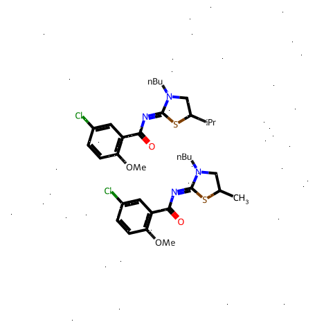 CCCCN1CC(C(C)C)S/C1=N\C(=O)c1cc(Cl)ccc1OC.CCCCN1CC(C)S/C1=N\C(=O)c1cc(Cl)ccc1OC